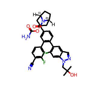 CC(C)(O)Cn1ncc2cc(-c3ccc(C(=O)N4[C@@H]5CC[C@H]4C[C@@H](OC(N)=O)C5)cc3-c3ccc(C#N)c(F)c3)c(F)cc21